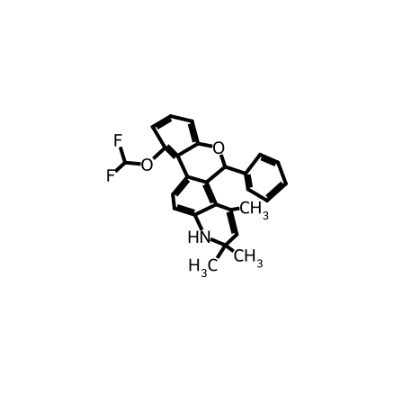 CC1=CC(C)(C)Nc2ccc3c(c21)C(c1ccccc1)Oc1cccc(OC(F)F)c1-3